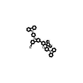 N#Cc1ccc2c(c1)c1cc(-c3ccc4c(c3)Oc3ccc(-n5c6ccccc6c6ccccc65)cc3C43c4cccnc4-c4ncccc43)ccc1n2-c1ccc(-n2c3ccccc3c3ccccc32)cc1